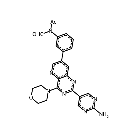 CC(=O)N(C=O)c1cccc(-c2cnc3c(N4CCOCC4)nc(-c4cnc(N)nc4)nc3c2)c1